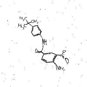 CC(C)(C)c1ccc(NC(=O)c2ccc(N)c([N+](=O)[O-])c2)cc1